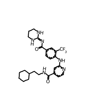 O=C(N=C1NCCCN1)c1ccc(Nc2cc(C(=O)NCCC3CCCCC3)ccn2)c(C(F)(F)F)c1